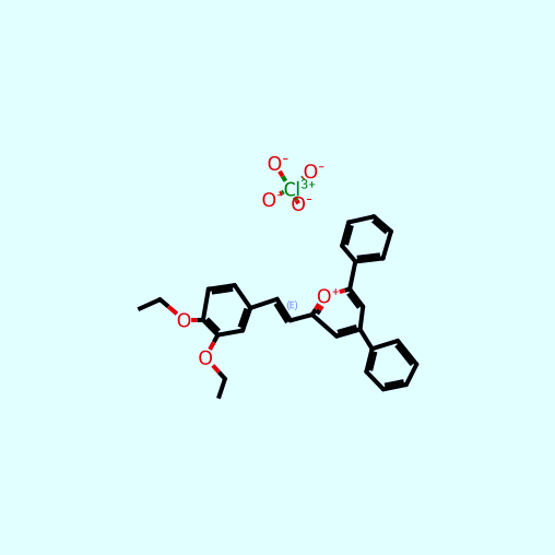 CCOc1ccc(/C=C/c2cc(-c3ccccc3)cc(-c3ccccc3)[o+]2)cc1OCC.[O-][Cl+3]([O-])([O-])[O-]